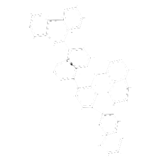 c1ccc(-c2ccc(-c3ccc4ccccc4c3)cc2N(c2ccc(-c3cc4ccccc4c4ccccc34)cc2)c2cccc3ccccc23)cc1